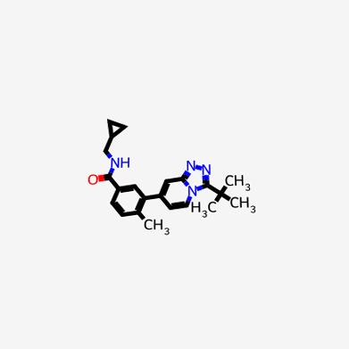 Cc1ccc(C(=O)NCC2CC2)cc1-c1ccn2c(C(C)(C)C)nnc2c1